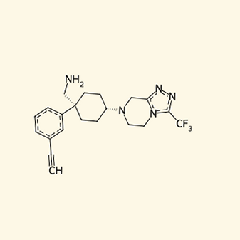 C#Cc1cccc([C@]2(CN)CC[C@@H](N3CCn4c(nnc4C(F)(F)F)C3)CC2)c1